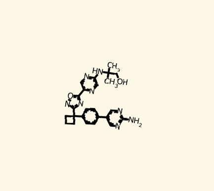 CC(C)(CO)Nc1cnc(-c2nc(C3(c4ccc(-c5cnc(N)nc5)cc4)CCC3)no2)cn1